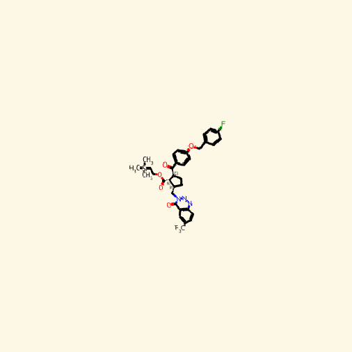 C[Si](C)(C)CCOC(=O)[C@H]1[C@H](Cn2nnc3ccc(C(F)(F)F)cc3c2=O)CC[C@@H]1C(=O)c1ccc(OCc2ccc(F)cc2)cc1